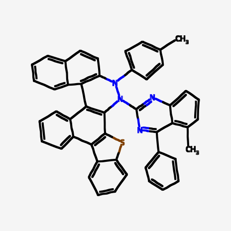 Cc1ccc(N2c3ccc4ccccc4c3-c3c(c4sc5ccccc5c4c4ccccc34)N2c2nc(-c3ccccc3)c3c(C)cccc3n2)cc1